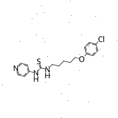 S=C(NCCCCCOc1ccc(Cl)cc1)Nc1ccncc1